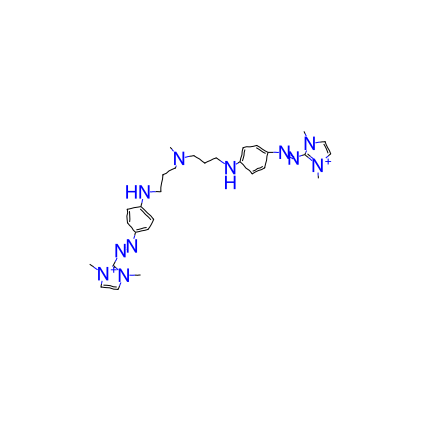 CN(CCCNc1ccc(/N=N/c2n(C)cc[n+]2C)cc1)CCCNc1ccc(/N=N/c2n(C)cc[n+]2C)cc1